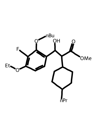 CCCCOc1c(C(O)C(C(=O)OC)C2CCC(CCC)CC2)ccc(OCC)c1F